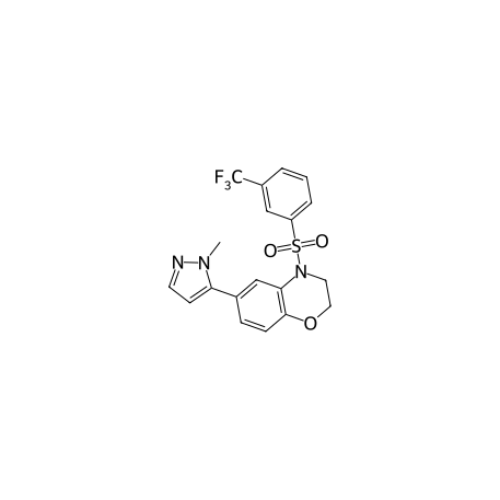 Cn1nccc1-c1ccc2c(c1)N(S(=O)(=O)c1cccc(C(F)(F)F)c1)CCO2